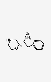 NC(Cc1ccccc1)[C@H]1CNCCO1.[Zn]